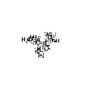 CN(CCCn1cnc2cncc(-c3cccc(N[C@H]4C[C@@H](C(=O)O)N(C(=O)O)C4)n3)c21)C(=O)OC(C)(C)C